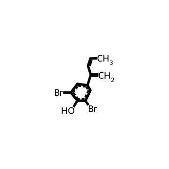 C=C(/C=C\C)c1cc(Br)c(O)c(Br)c1